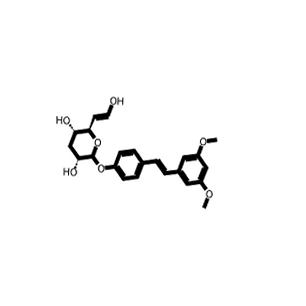 COc1cc(/C=C/c2ccc(OC3O[C@H](C=CO)[C@@H](O)C[C@H]3O)cc2)cc(OC)c1